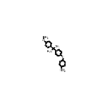 CC(C)(c1ccc(ON)cc1)c1ccc(Oc2ccc(N)cc2)cc1